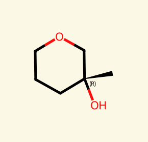 C[C@@]1(O)CCCOC1